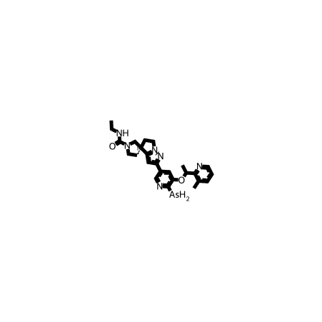 CCNC(=O)N1CC[C@@]2(CCn3nc(-c4cnc([AsH2])c(OC(C)c5ncccc5C)c4)cc32)C1